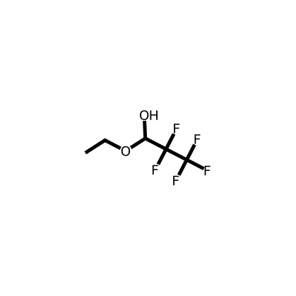 CCOC(O)C(F)(F)C(F)(F)F